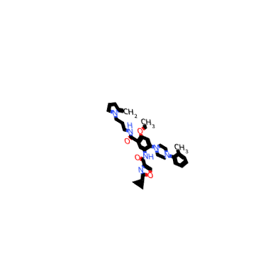 C=C1CCCN1CCCNC(=O)c1cc(NC(=O)c2coc(C3CC3)n2)c(N2CCN(c3ccccc3C)CC2)cc1OCC